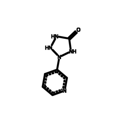 O=C1NNN(c2cccnc2)N1